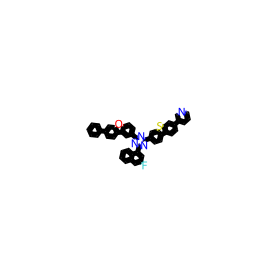 Fc1cc(-c2nc(-c3ccc4c(c3)sc3cc(-c5cccnc5)ccc34)nc(-c3ccc4oc5cc(-c6ccccc6)ccc5c4c3)n2)c2ccccc2c1